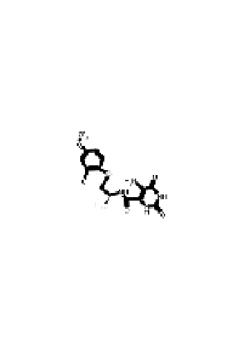 C[C@H](COc1ccc(OC(F)(F)F)cc1Cl)NC(=O)c1[nH]c(=O)[nH]c(=O)c1N